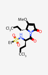 CCS(=O)(=O)N[C@H](CCC(Cl)(Cl)Cl)C(=O)N1C(=O)C=C(OC)[C@H]1CCC(Cl)(Cl)Cl